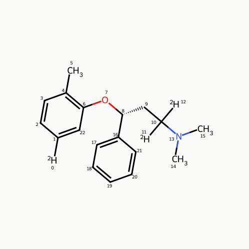 [2H]c1ccc(C)c(O[C@H](CC([2H])([2H])N(C)C)c2ccccc2)c1